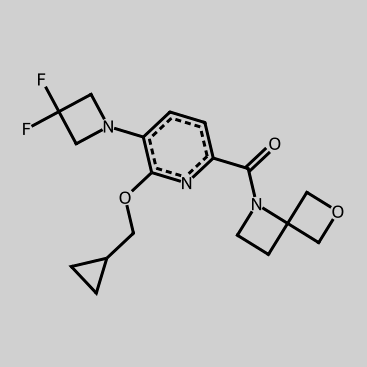 O=C(c1ccc(N2CC(F)(F)C2)c(OCC2CC2)n1)N1CCC12COC2